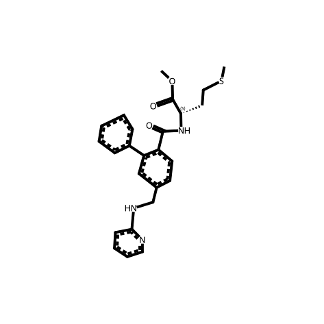 COC(=O)[C@H](CCSC)NC(=O)c1ccc(CNc2ccccn2)cc1-c1ccccc1